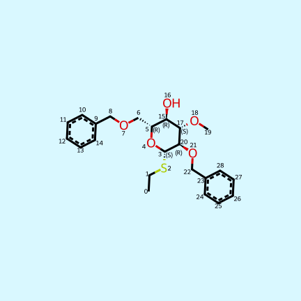 CCS[C@@H]1O[C@H](COCc2ccccc2)[C@@H](O)[C@H](OC)[C@H]1OCc1ccccc1